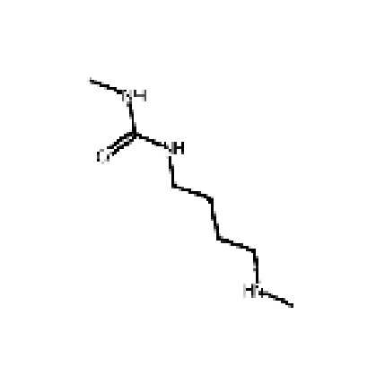 CNCCCCNC(=O)NC